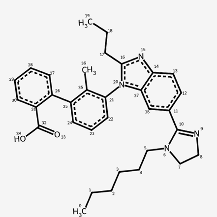 CCCCCCN1CCN=C1c1ccc2nc(CCC)n(-c3cccc(-c4ccccc4C(=O)O)c3C)c2c1